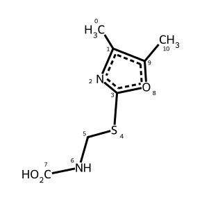 Cc1nc(SCNC(=O)O)oc1C